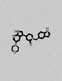 O=c1cc(-c2c[nH]c3ncc(N4CCOCC4)cc23)ccn1Cc1ccc2[nH]ccc2c1